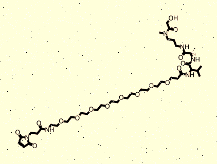 CC(C)C(NC(=O)CCOCCOCCOCCOCCOCCOCCOCCOCCNC(=O)CCN1C(=O)C=CC1=O)C(=O)N[C@@H](C)C(=O)NCCCN(C)C(=O)CO